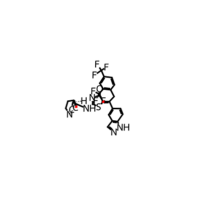 O=C1N=C(N[C@H]2CN3CCC2CC3)SC1=C(Cc1ccc(C(F)(F)F)cc1C(F)(F)F)c1ccc2[nH]ncc2c1